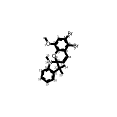 COc1cc(Br)c(Br)c2c1OC1(C=C2)N(C)c2ccccc2C1(C)C